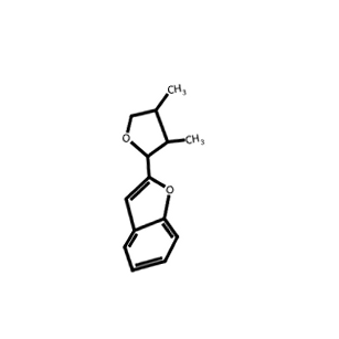 CC1COC(c2cc3ccccc3o2)C1C